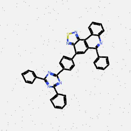 c1ccc(-c2nc(-c3ccccc3)nc(-c3ccc(-c4cc5c(-c6ccccc6)nc6ccccc6c5c5nsnc45)cc3)n2)cc1